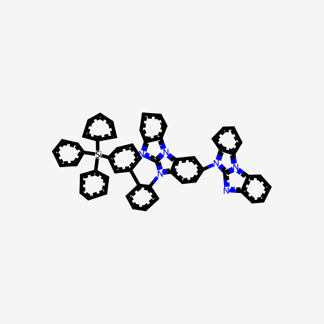 c1ccc([Si](c2ccccc2)(c2ccccc2)c2cccc(-c3ccccc3-n3c4ccc(-n5c6ccccc6n6c7ccccc7nc56)cc4n4c5ccccc5nc34)c2)cc1